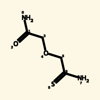 NC(=O)COCC(N)=S